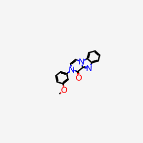 COc1cccc(-n2ccn3c(nc4ccccc43)c2=O)c1